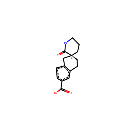 O=C(O)c1ccc2c(c1)CC[C@@]1(CCCNC1=O)C2